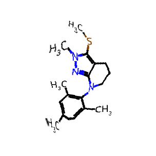 CSc1c2c(nn1C)N(c1c(C)cc(C)cc1C)CCC2